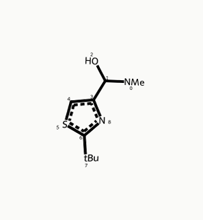 CNC(O)c1csc(C(C)(C)C)n1